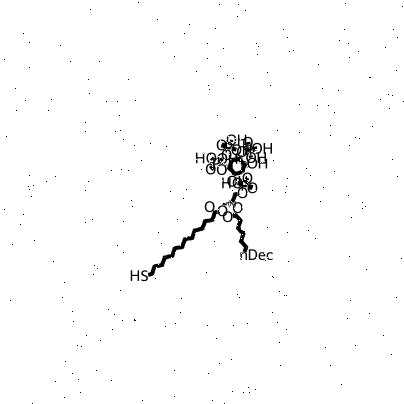 CCCCCCCCCCCCCCCC(=O)O[C@H](COC(=O)CCCCCCCCCCCCCS)COP(=O)(O)OC1C(O)[C@H](OP(=O)(O)O)C(OP(=O)(O)O)[C@H](OP(=O)(O)O)[C@@H]1O